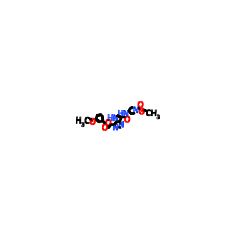 CCOC(=O)N1CCC(NC(=O)c2c[nH]c3c(C4=COC(c5cccc(OCC)c5)O4)ncnc23)CC1